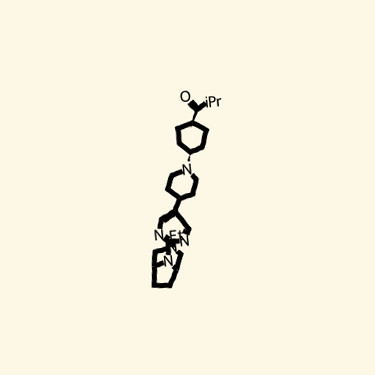 CCN1CC2CCC(C1)N2c1ncc(C2CCN([C@H]3CC[C@H](C(=O)C(C)C)CC3)CC2)cn1